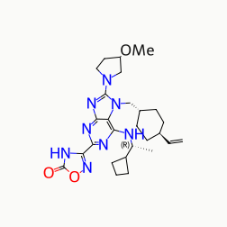 C=C[C@H]1CC[C@H](Cn2c(N3CCC(OC)C3)nc3nc(-c4noc(=O)[nH]4)nc(N[C@H](C)C4CCC4)c32)CC1